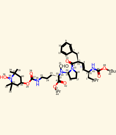 CC(C)C[C@@H](/C=C/[C@H](Cc1ccccc1)C(=O)N1CCC[C@H]1N(C=O)[C@@H](CCCNC(=O)OC1CC(C)(C)N(O)C(C)(C)C1)C(=O)OC(C)C)NC(=O)OC(C)(C)C